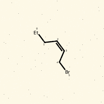 CCC/C=C\CBr